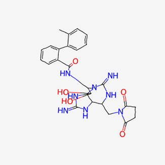 Cc1ccccc1-c1ccccc1C(=O)NC1CN2C(=N)NC(CN3C(=O)CCC3=O)C3NC(=N)NC32C1(O)O